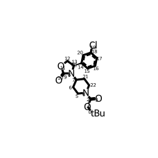 CC(C)(C)OC(=O)N1CCC(N2C(=O)OC[C@H]2c2cccc(Cl)c2)CC1